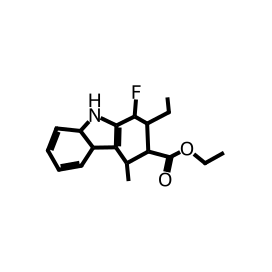 CCOC(=O)C1C(C)C2=C(NC3C=CC=CC23)C(F)C1CC